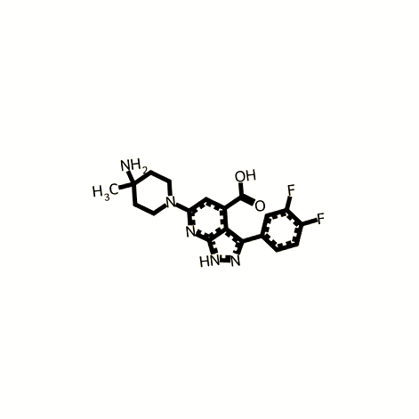 CC1(N)CCN(c2cc(C(=O)O)c3c(-c4ccc(F)c(F)c4)n[nH]c3n2)CC1